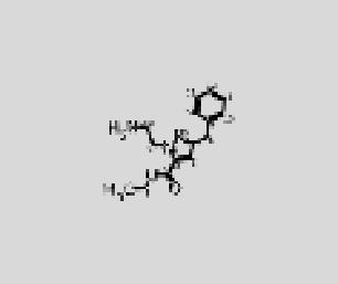 CCOC(=O)c1cc(Cc2ccccc2)nn1CCN